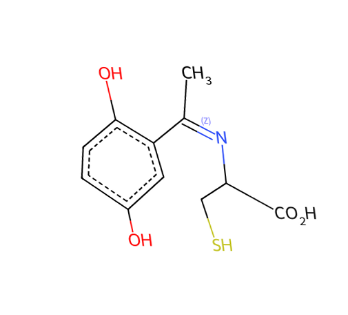 C/C(=N/C(CS)C(=O)O)c1cc(O)ccc1O